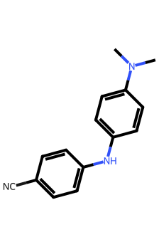 CN(C)c1ccc(Nc2ccc(C#N)cc2)cc1